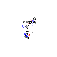 COc1cc2c(cc1OCc1cc(N)cc(COc3cc4c(cc3C)C(=O)N3c5ccccc5C[C@H]3C=N4)c1)NC[C@@H]1Cc3ccccc3N1C2=O